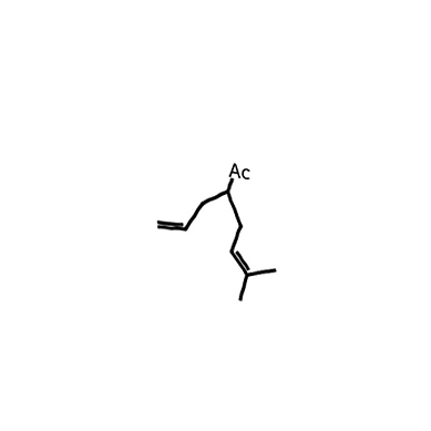 C=CCC(CC=C(C)C)C(C)=O